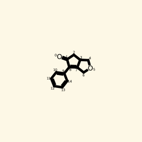 O=C1CC2COCC2=C1c1ccccc1